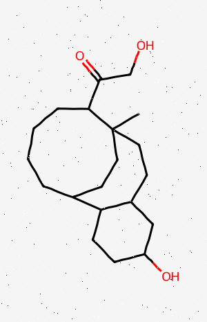 CC12CCC(CCCCC1C(=O)CO)C1CCC(O)CC1CC2